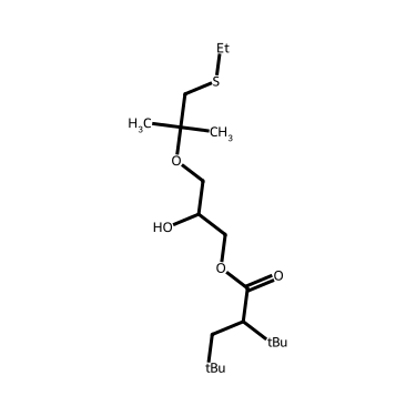 CCSCC(C)(C)OCC(O)COC(=O)C(CC(C)(C)C)C(C)(C)C